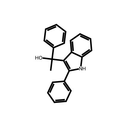 CC(O)(c1ccccc1)c1c(-c2ccccc2)[nH]c2ccccc12